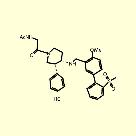 COc1ccc(-c2ccccc2S(C)(=O)=O)cc1CN[C@H]1CCN(C(=O)CNC(C)=O)C[C@H]1c1ccccc1.Cl